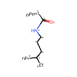 CCCCCC(=O)NCCCC(CC)CCC